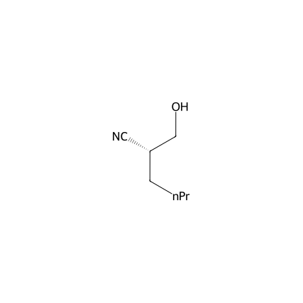 CCCC[C@H](C#N)CO